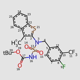 Cc1c(N(Cc2ccc(F)c(C(F)(F)F)c2)S(=O)(=O)NC(=O)OC(C)(C)C)sc2ccccc12